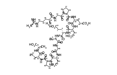 CC[C@H](C)[C@H](NC(=O)[C@H](CCC(=O)O)NC(=O)[C@H](CC(=O)O)NC(=O)[C@H](CCC(=O)O)NC(=O)[C@@H]1CCCN1C(=O)CNC(=O)[C@@H](N)CCCNC(=N)N)C(=O)NCC(=O)N[C@@H](CC(=O)O)C(=O)N1CCC[C@H]1C(=O)N[C@@H](CC(C)C)C(=O)N[C@@H](C)C(=O)O